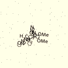 COc1ccc(CN(c2ccncn2)S(=O)(=O)c2cc(C)c(O[C@H]3CCCC[C@@H]3c3cn(C4CCCCO4)nc3N)cc2F)c(OC)c1